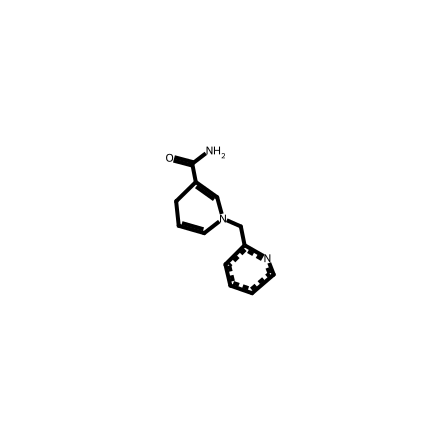 NC(=O)C1=CN(Cc2ccccn2)C=CC1